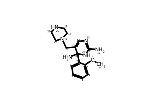 COc1ccccc1C1(N)NC(N)=NC=C1CN1CCNCC1